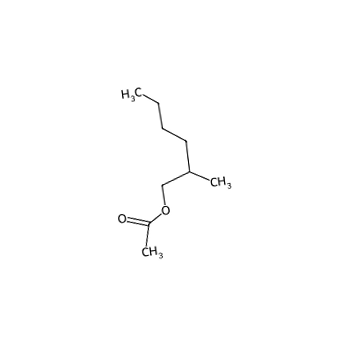 CCCCC(C)COC(C)=O